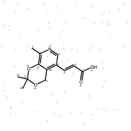 Cc1ncc(C=CC(=O)O)c2c1OC(C)(C)OC2